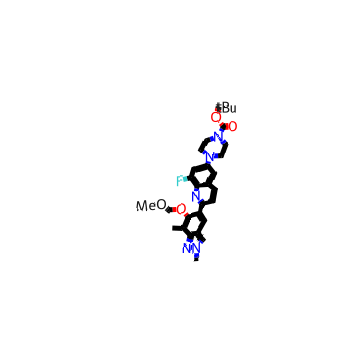 COCOc1c(-c2ccc3cc(N4CCN(C(=O)OC(C)(C)C)CC4)cc(F)c3n2)cc2cn(C)nc2c1C